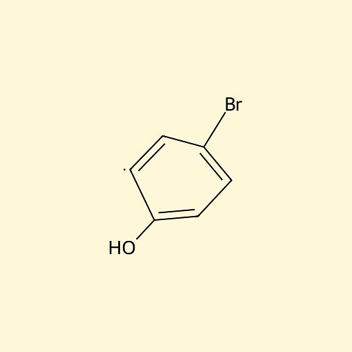 Oc1[c]cc(Br)cc1